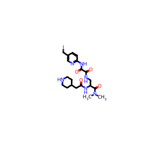 CN(C)C(=O)C(CNC(=O)C(=O)Nc1ccc(CI)cn1)NC(=O)CC1CCNCC1